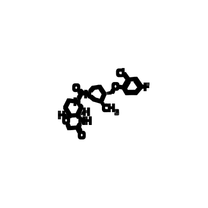 C[C@@H]1CN(C(=O)N2CC[C@@H]3OCC(=O)N[C@@H]3C2)CC[C@@H]1COc1ccc(F)cc1Cl